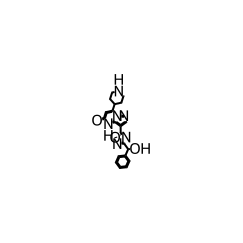 O=c1cc(C2CCNCC2)n2ncc(-c3nc(C(O)c4ccccc4)no3)c2[nH]1